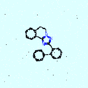 c1ccc(-c2ccccc2-c2nc3n(n2)CCc2ccccc2-3)cc1